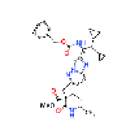 COC(=O)C1(Cc2ccc3nc([C@@H](NC(=O)OCc4ccccc4)C(C4CC4)C4CC4)cn3n2)CCC(C(F)(F)F)NC1=O